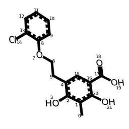 Cc1c(O)c(CCOc2ccccc2Cl)cc(C(=O)O)c1O